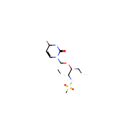 COC[C@@H](CNS(C)(=O)=O)O[C@H](COC)N1C=CC(O)NC1=O